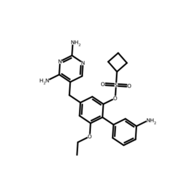 CCOc1cc(Cc2cnc(N)nc2N)cc(OS(=O)(=O)C2CCC2)c1-c1cccc(N)c1